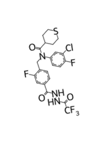 O=C(NNC(=O)C(F)(F)F)c1ccc(CN(C(=O)C2CCSCC2)c2ccc(F)c(Cl)c2)c(F)c1